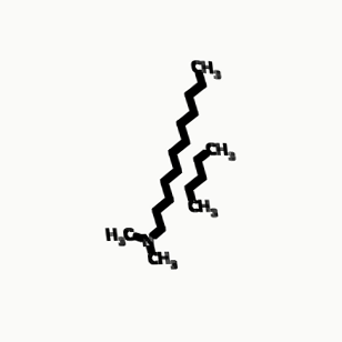 CCCCC.CCCCCCCCCCCCN(C)C